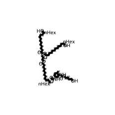 CCCCCCC(O)C/C=C\CCCCCCCC(=O)OCC(COC(=O)CCCCCCC/C=C\CC(CCCCCC)OC(=O)Nc1ccc(C)c(NC(=O)OCC=CCO)c1)OC(=O)CCCCCCC/C=C/CC(O)CCCCCC